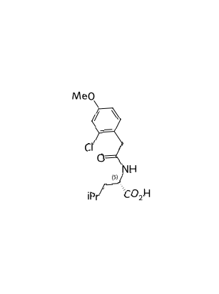 COc1ccc(CC(=O)N[C@@H](CC(C)C)C(=O)O)c(Cl)c1